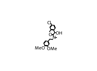 COc1ccc(CCN(C)C(=O)C(O)c2ccc(Cl)cc2C)cc1OC